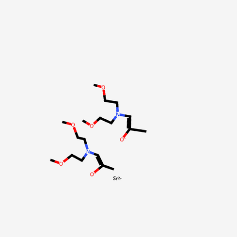 COCCN(/C=C(/C)[O-])CCOC.COCCN(/C=C(/C)[O-])CCOC.[Sr+2]